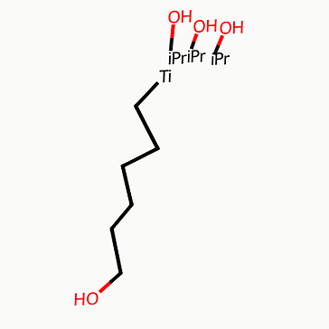 CC(C)O.CC(C)O.CC(C)O.OCCCCC[CH2][Ti]